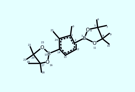 Cc1c(B2OC(C)(C)C(C)(C)O2)ccc(B2OC(C)(C)C(C)(C)O2)c1C